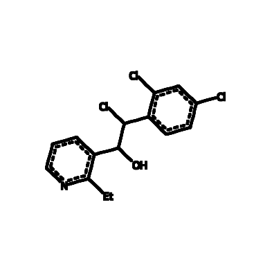 CCc1ncccc1C(O)C(Cl)c1ccc(Cl)cc1Cl